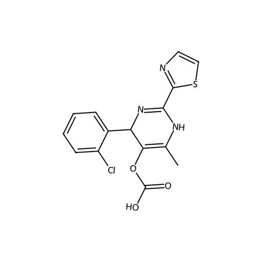 CC1=C(OC(=O)O)C(c2ccccc2Cl)N=C(c2nccs2)N1